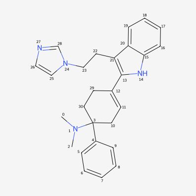 CN(C)C1(c2ccccc2)CC=C(c2[nH]c3ccccc3c2CCn2ccnc2)CC1